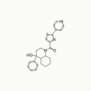 O=C(c1csc(-c2ccncc2)n1)N1CCC(O)(c2ccccc2)C2CCCCC21